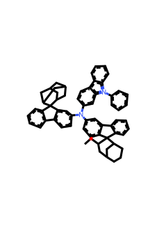 CCC1CC2CCCC(C2)C12c1ccccc1-c1cc(N(c3ccc4c(c3)C3(c5ccccc5-4)C4CC5CC(C4)CC3C5)c3ccc4c5ccccc5n(-c5ccccc5)c4c3)ccc12